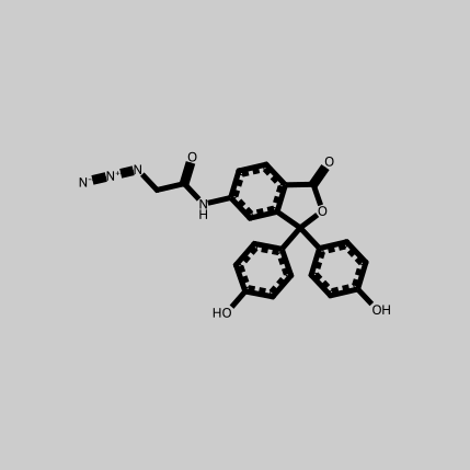 [N-]=[N+]=NCC(=O)Nc1ccc2c(c1)C(c1ccc(O)cc1)(c1ccc(O)cc1)OC2=O